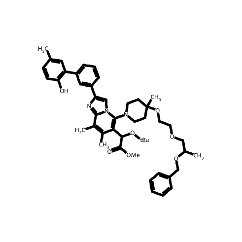 COC(=O)C(OC(C)(C)C)c1c(C)c(C)c2nc(-c3cccc(-c4cc(C)ccc4O)c3)cn2c1N1CCC(C)(OCCOCC(C)OCc2ccccc2)CC1